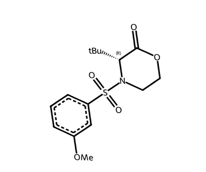 COc1cccc(S(=O)(=O)N2CCOC(=O)[C@H]2C(C)(C)C)c1